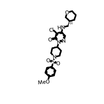 COc1ccc(S(=O)(=O)N2CCC(n3ncc(NC[C@@H]4CCCOC4)c(Cl)c3=O)CC2)cc1